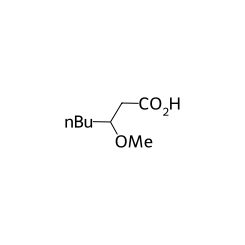 CCCCC(CC(=O)O)OC